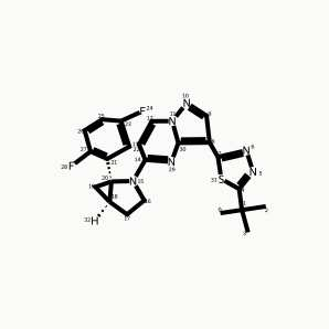 CC(C)(C)c1nnc(-c2cnn3ccc(N4CC[C@H]5C[C@]54c4cc(F)ccc4F)nc23)s1